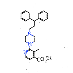 CCOC(=O)c1ccnc(N2CCN(CCC(c3ccccc3)c3ccccc3)CC2)c1C